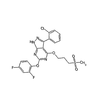 CS(=O)(=O)CCCOc1nc(Oc2ccc(F)cc2F)nc2[nH]nc(-c3ccccc3Cl)c12